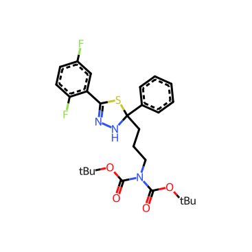 CC(C)(C)OC(=O)N(CCCC1(c2ccccc2)NN=C(c2cc(F)ccc2F)S1)C(=O)OC(C)(C)C